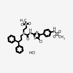 CS(=O)(=O)CCN(CCC(c1ccccc1)c1ccccc1)C(=O)Nc1nc(-c2ccc(NS(C)(=O)=O)cc2)c(Cl)s1.Cl